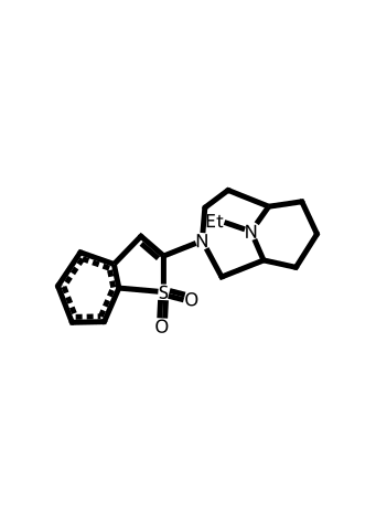 CCN1C2CCCC1CN(C1=Cc3ccccc3S1(=O)=O)CC2